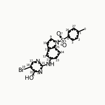 Cc1ccc(S(=O)(=O)n2ccc3cc(Nc4ncc(Br)c(O)n4)ccc32)cc1